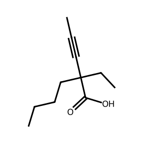 CC#CC(CC)(CCCC)C(=O)O